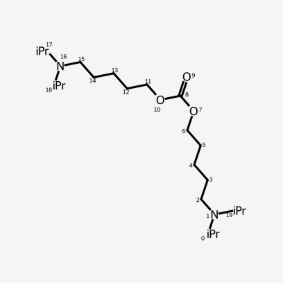 CC(C)N(CCCCCOC(=O)OCCCCCN(C(C)C)C(C)C)C(C)C